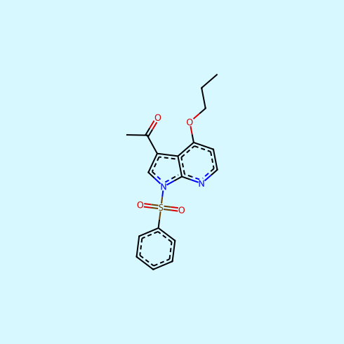 CCCOc1ccnc2c1c(C(C)=O)cn2S(=O)(=O)c1ccccc1